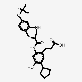 O=C(O)CCc1cc(C2CCCC2)c(O)cc1NC(=O)C1CNc2cc(OC(F)(F)F)ccc2O1